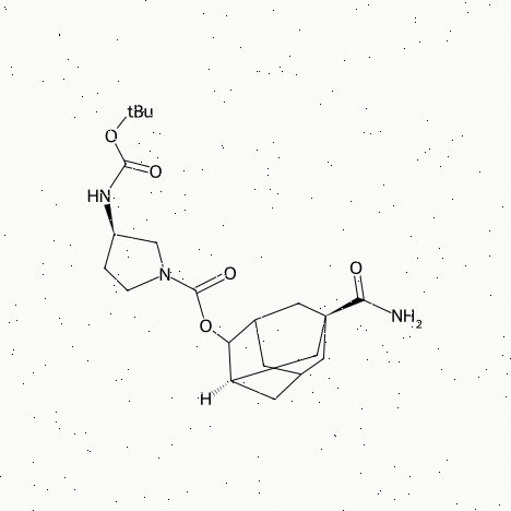 CC(C)(C)OC(=O)N[C@@H]1CCN(C(=O)OC2C3CC4C[C@@H]2C[C@@](C(N)=O)(C4)C3)C1